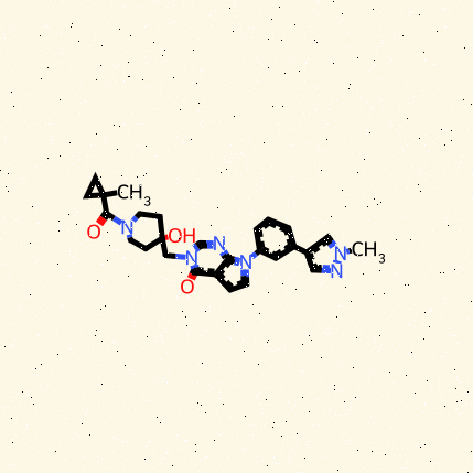 Cn1cc(-c2cccc(-n3ccc4c(=O)n(CC5(O)CCN(C(=O)C6(C)CC6)CC5)cnc43)c2)cn1